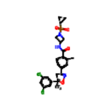 Cc1cc(C2=NO[C@@](c3cc(Cl)cc(Cl)c3)(C(F)(F)F)C2)ccc1C(=O)NC1CN(S(=O)(=O)C2CC2)C1